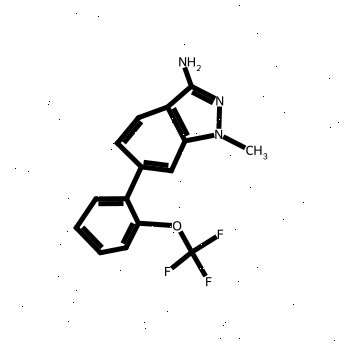 Cn1nc(N)c2ccc(-c3ccccc3OC(F)(F)F)cc21